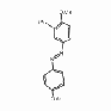 COc1ccc(N=Nc2ccc(OC(C)=O)cc2)cc1C(C)C